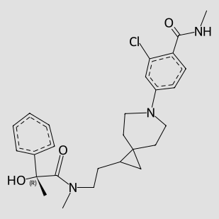 CNC(=O)c1ccc(N2CCC3(CC2)CC3CCN(C)C(=O)[C@](C)(O)c2ccccc2)cc1Cl